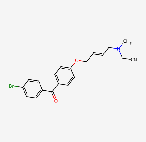 CN(CC#N)CC=CCOc1ccc(C(=O)c2ccc(Br)cc2)cc1